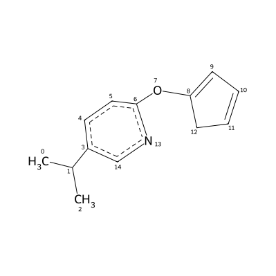 CC(C)c1ccc(OC2=CC=CC2)nc1